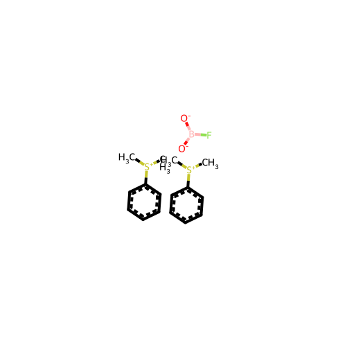 C[S+](C)c1ccccc1.C[S+](C)c1ccccc1.[O-]B([O-])F